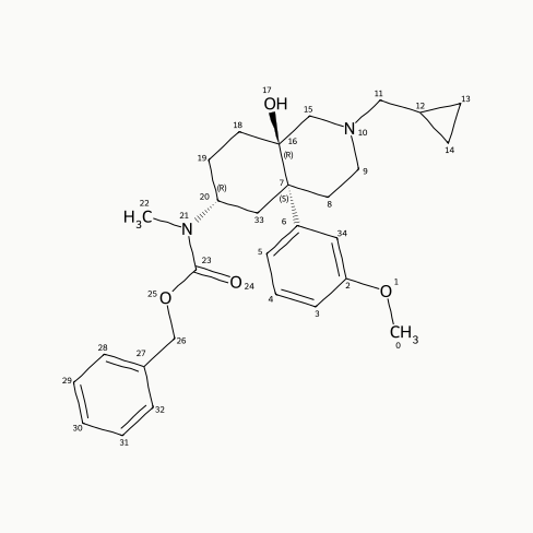 COc1cccc([C@@]23CCN(CC4CC4)C[C@@]2(O)CC[C@@H](N(C)C(=O)OCc2ccccc2)C3)c1